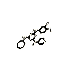 COc1ccc(Nc2nc(NC3CCCCCC3)nc(N(C)c3ccncc3)n2)cc1Cl